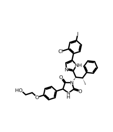 C[C@@H](c1ccccc1)[C@@H](c1ncc(-c2ccc(I)cc2Cl)[nH]1)N1C(=O)NC(c2ccc(OCCO)cc2)C1=O